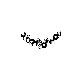 CCC(CC)OC(=O)Oc1ccc(C(=O)NS(=O)(=O)c2cccc(C(=O)NCCc3ccc(Cl)cc3)c2)cn1